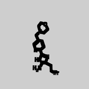 CC(C)CCc1nc(-c2ccc(CN3CCOCC3)cn2)[nH]c1N